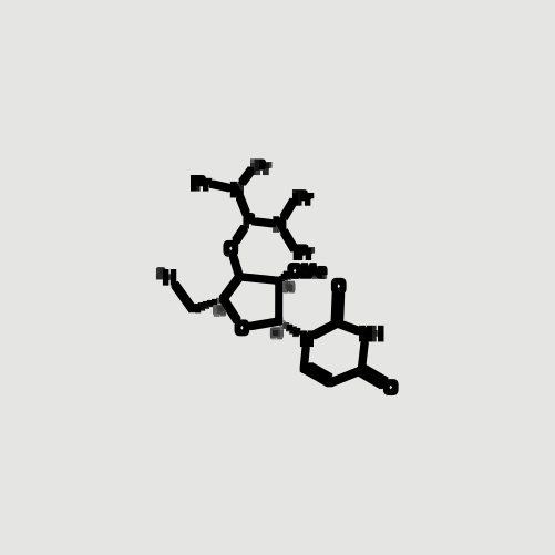 [2H]C[C@H]1O[C@@H](n2ccc(=O)[nH]c2=O)[C@@H](OC)C1OP(N(C(C)C)C(C)C)N(C(C)C)C(C)C